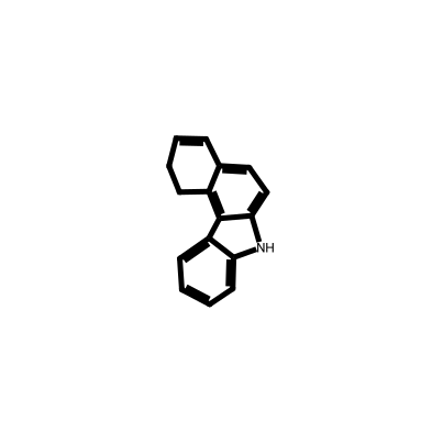 C1=Cc2ccc3[nH]c4ccccc4c3c2CC1